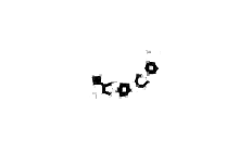 CCOc1ccc(F)c(N2CCC(Oc3ccc(N4C[C@H](OC)C(C5CCC5)[C@@H]4C)cc3)CC2)c1